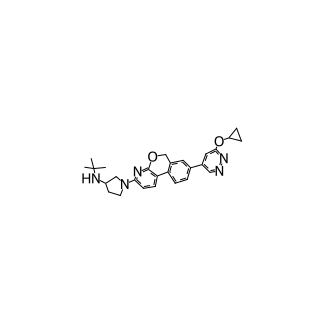 CC(C)(C)NC1CCN(c2ccc3c(n2)OCc2cc(-c4cnnc(OC5CC5)c4)ccc2-3)C1